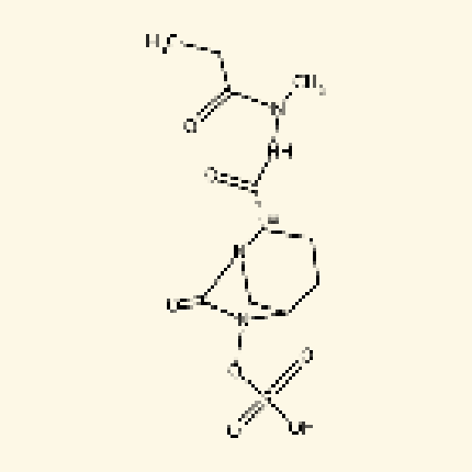 CCC(=O)N(C)NC(=O)[C@@H]1CCC2CN1C(=O)N2OS(=O)(=O)O